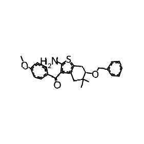 COc1ccc(C(=O)c2c(N)sc3c2CC(C)(C)C(OCc2ccccc2)C3)cc1